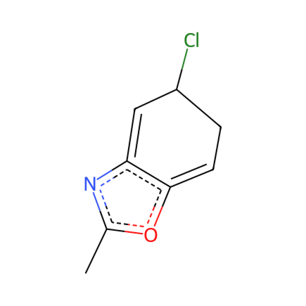 Cc1nc2c(o1)=CCC(Cl)C=2